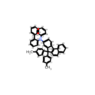 Cc1ccc(C2(c3ccc(C)cc3)c3cc(N(c4ccccc4)c4ccccc4-c4ccccc4)ccc3-c3c2ccc2ccccc32)cc1